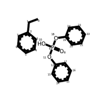 CCc1ccccc1.O=P(O)(Oc1ccccc1)Oc1ccccc1